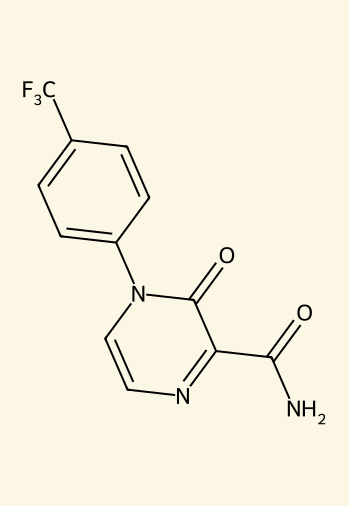 NC(=O)c1nccn(-c2ccc(C(F)(F)F)cc2)c1=O